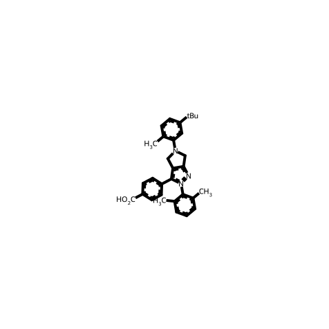 Cc1ccc(C(C)(C)C)cc1N1Cc2nn(-c3c(C)cccc3C)c(-c3ccc(C(=O)O)cc3)c2C1